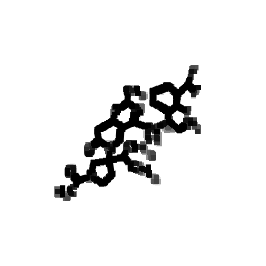 C=C[C@@H](Nc1nc(C)nc2cc(=O)n(C3(C(C)C)CCN(C(C)=O)C3)cc12)c1cccc(C(F)F)c1F